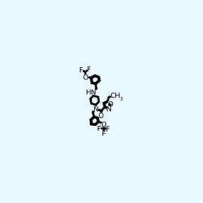 CCc1cc(C(=O)N(Cc2cccc(OC(F)(F)F)c2)C2CCC(NCc3cccc(OC(F)F)c3)CC2)no1